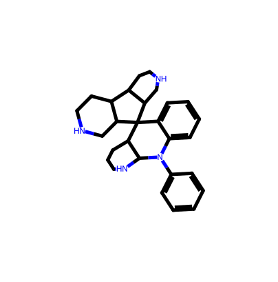 c1ccc(N2c3ccccc3C3(C4CNCCC4C4CCNCC43)C3CCCNC32)cc1